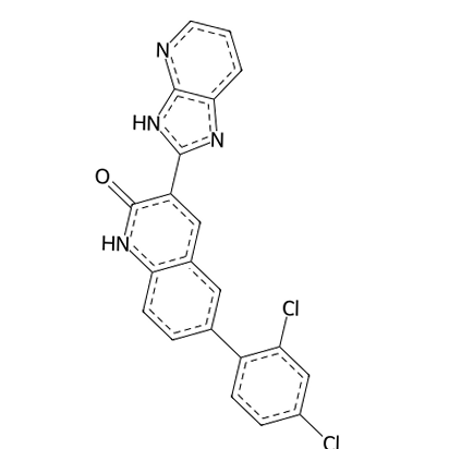 O=c1[nH]c2ccc(-c3ccc(Cl)cc3Cl)cc2cc1-c1nc2cccnc2[nH]1